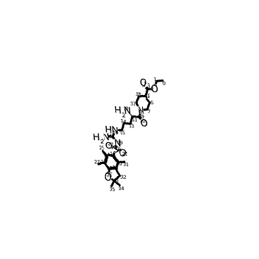 CCOC(=O)C1CCN(C(=O)[C@@H](N)CCCN/C(N)=N/S(=O)(=O)c2c(C)c(C)c3c(c2C)CC(C)(C)O3)CC1